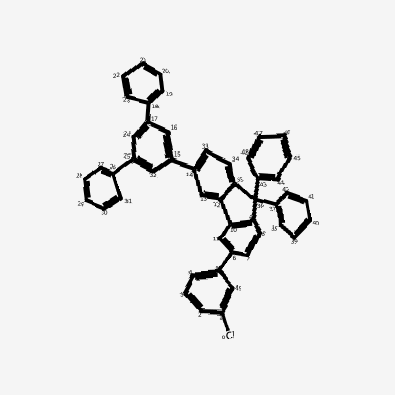 Clc1cccc(-c2ccc3c(c2)-c2cc(-c4cc(-c5ccccc5)cc(-c5ccccc5)c4)ccc2C3(c2ccccc2)c2ccccc2)c1